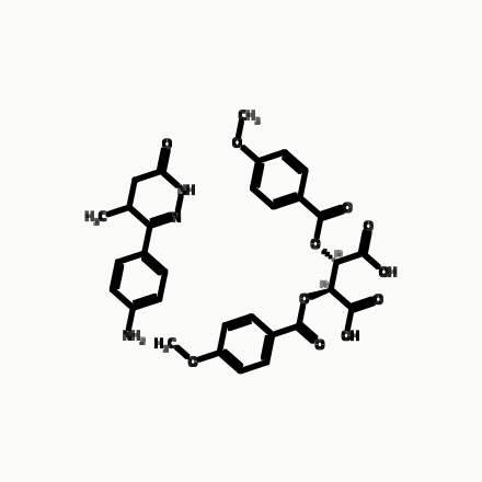 CC1CC(=O)NN=C1c1ccc(N)cc1.COc1ccc(C(=O)O[C@H](C(=O)O)[C@H](OC(=O)c2ccc(OC)cc2)C(=O)O)cc1